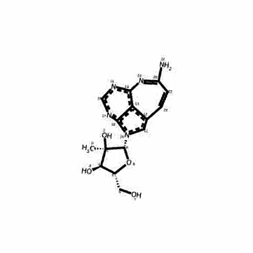 C[C@@]1(O)[C@H](O)[C@@H](CO)O[C@H]1n1cc2c3c(ncnc31)N=C(N)C=C2